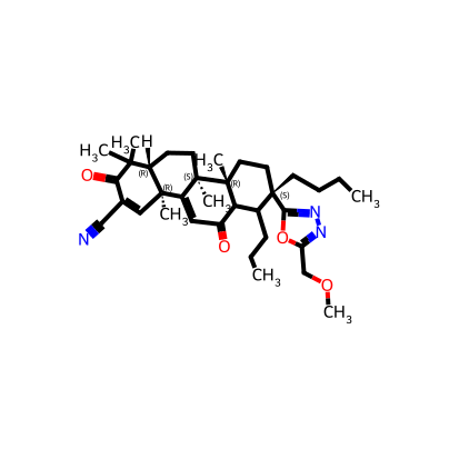 CCCC[C@]1(c2nnc(COC)o2)CC[C@]2(C)C(C(=O)C=C3[C@@]4(C)C=C(C#N)C(=O)C(C)(C)[C@@H]4CC[C@]32C)C1CCC